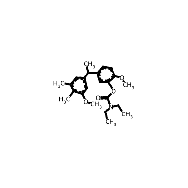 CCN(CC)C(=O)Oc1cc(C(C)c2cc(C)c(C)c(OC)c2)ccc1OC